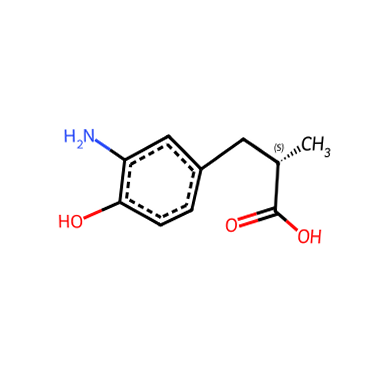 C[C@@H](Cc1ccc(O)c(N)c1)C(=O)O